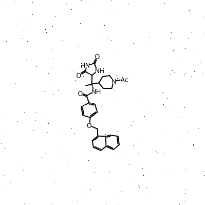 CC(=O)N1CCC(C(C)(NC(=O)c2ccc(OCc3cccc4ccccc34)cc2)C2NC(=O)NC2=O)CC1